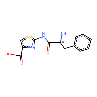 N[C@@H](Cc1ccccc1)C(=O)Nc1nc(C(=O)O)cs1